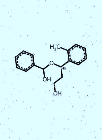 Cc1ccccc1[C@@H](CCO)OC(O)c1ccccc1